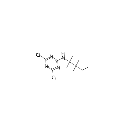 CCC(C)(C)C(C)(C)Nc1nc(Cl)nc(Cl)n1